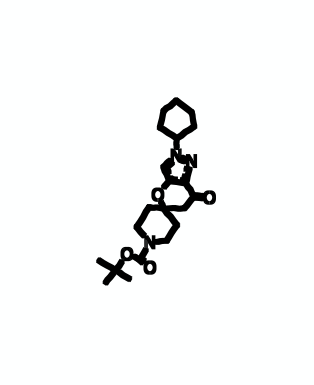 CC(C)(C)OC(=O)N1CCC2(CC1)CC(=O)c1nn(C3CCCCC3)cc1O2